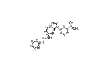 CC(=O)c1cccc(-c2cnc3ccc(NCCc4ccccn4)nn23)c1